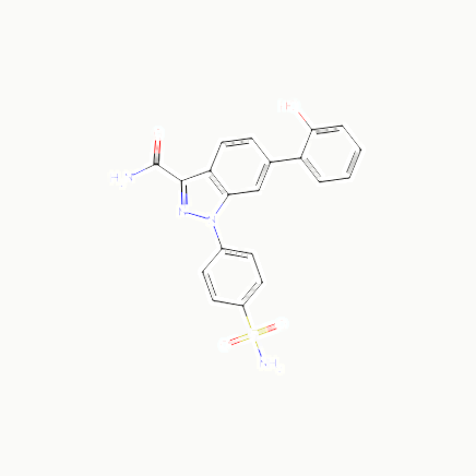 NC(=O)c1nn(-c2ccc(S(N)(=O)=O)cc2)c2cc(-c3ccccc3O)ccc12